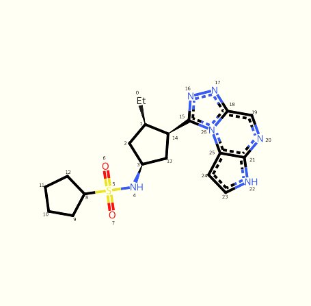 CC[C@@H]1C[C@H](NS(=O)(=O)C2CCCC2)C[C@@H]1c1nnc2cnc3[nH]ccc3n12